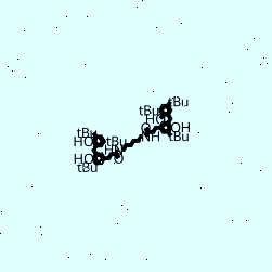 CC(C)(C)c1cc(Cc2cc(CCC(=O)NCCCCCCNC(=O)CCc3cc(Cc4cc(C(C)(C)C)cc(C(C)(C)C)c4O)c(O)c(C(C)(C)C)c3)cc(C(C)(C)C)c2O)c(O)c(C(C)(C)C)c1